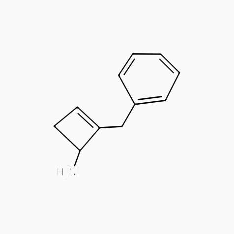 NC1CC=C1Cc1ccccc1